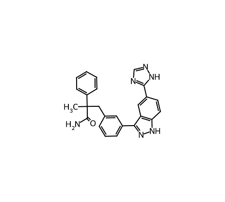 CC(Cc1cccc(-c2n[nH]c3ccc(-c4ncn[nH]4)cc23)c1)(C(N)=O)c1ccccc1